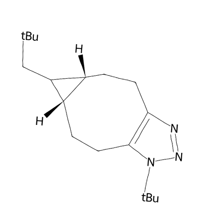 CC(C)(C)CC1[C@H]2CCc3c(nnn3C(C)(C)C)CC[C@@H]12